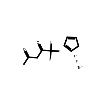 C1=CCC=C1.CC(=O)CC(=O)C(F)(F)F.[F-].[F-].[Ti+2]